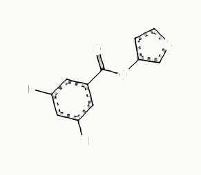 O=C(Oc1ccsc1)c1cc(F)cc(Cl)c1